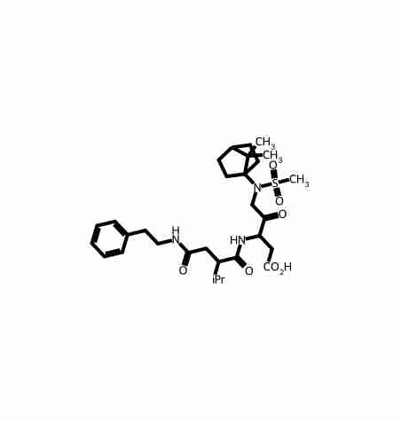 CC(C)C(CC(=O)NCCc1ccccc1)C(=O)NC(CC(=O)O)C(=O)CN(C12CCC(CC1)C2(C)C)S(C)(=O)=O